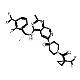 Cc1nc(N[C@H](C)c2cccc(C(F)F)c2F)c2cc(P3(=O)CCN(C(=O)C4(C(F)F)CC4)CC3)ncc2n1